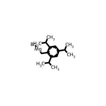 CC(C)c1cc(C(C)C)c([CH2][Mg][Br])c(C(C)C)c1